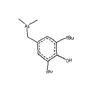 C[As](C)Cc1cc(C(C)(C)C)c(O)c(C(C)(C)C)c1